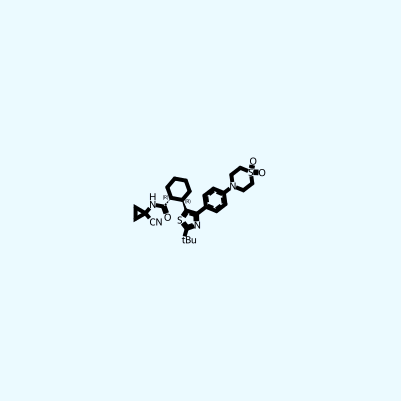 CC(C)(C)c1nc(-c2ccc(N3CCS(=O)(=O)CC3)cc2)c([C@@H]2CCCC[C@H]2C(=O)NC2(C#N)CC2)s1